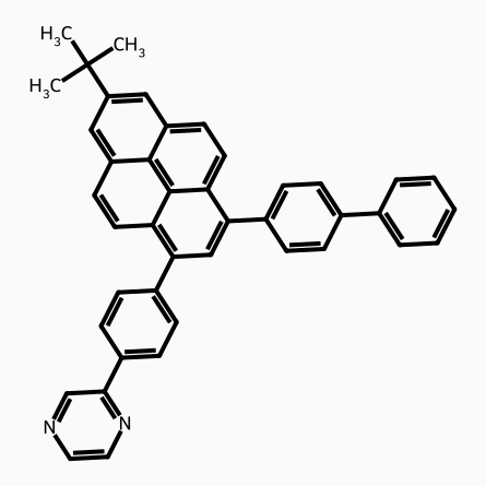 CC(C)(C)c1cc2ccc3c(-c4ccc(-c5ccccc5)cc4)cc(-c4ccc(-c5cnccn5)cc4)c4ccc(c1)c2c34